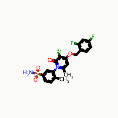 Cc1ccc(S(N)(=O)=O)cc1-n1c(C)cc(OCc2ccc(F)cc2F)c(Br)c1=O